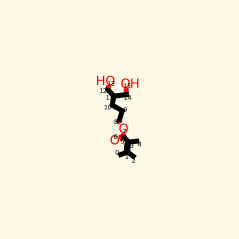 CC(C)=C(C)C(=O)OCCCC(CO)CO